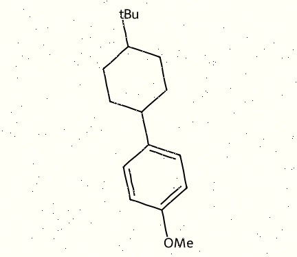 COc1ccc(C2CCC(C(C)(C)C)CC2)cc1